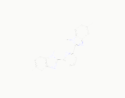 Cc1ccc2c(c1)nc(-c1cccc(-c3nc4cc(C)ccc4n3C)n1)n2C.[Cl-].[Cl-].[Co+2]